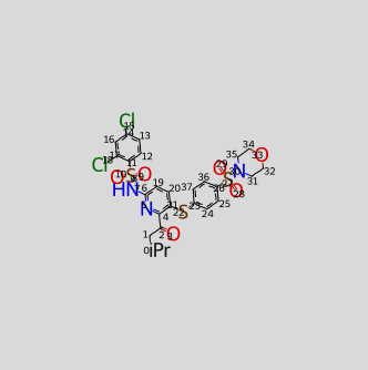 CC(C)CC(=O)c1nc(NS(=O)(=O)c2ccc(Cl)cc2Cl)ccc1Sc1ccc(S(=O)(=O)N2CCOCC2)cc1